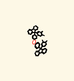 Cc1ccc(C2(c3ccc(Oc4ccc(C5(c6ccc(C)c(C)c6)c6ccccc6-c6ccccc65)cc4)cc3)c3ccccc3-c3ccccc32)cc1C